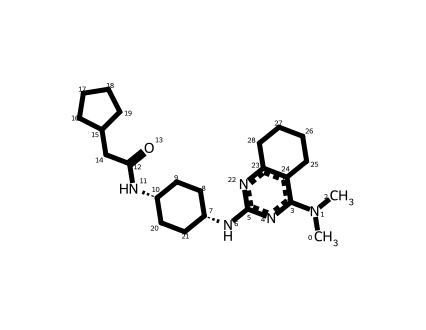 CN(C)c1nc(N[C@H]2CC[C@@H](NC(=O)CC3CCCC3)CC2)nc2c1CCCC2